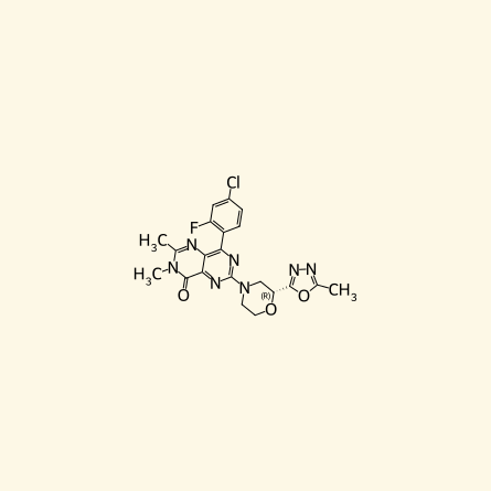 Cc1nnc([C@H]2CN(c3nc(-c4ccc(Cl)cc4F)c4nc(C)n(C)c(=O)c4n3)CCO2)o1